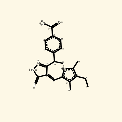 CCc1c(C)[nH]c(/C=C2/C(=O)NN=C2C(C)c2ccc(C(N)=O)cc2)c1C